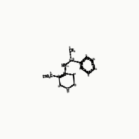 CCOC(=O)C1=C(N[C@H](C)c2ccccc2)CCOC1